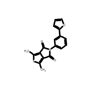 Cc1sc(C)c2c1C(=O)N(c1cccc(-c3ccco3)c1)C2=O